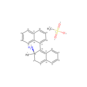 CS(=O)(=O)[O-].N[C@]1([Pd+])CC=c2ccccc2=C1c1cccc2ccccc12